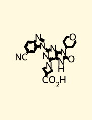 N#Cc1ccc2ncn(-c3nc(N4CC(C(=O)O)C4)c4[nH]c(=O)n(C5CCOCC5)c4n3)c2c1